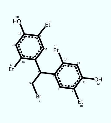 CCc1cc(C(CBr)c2cc(CC)c(O)cc2CC)c(CC)cc1O